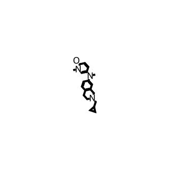 CN(c1ccc2c(c1)CN(CC1CC1)CC2)c1ccc(=O)n(C)c1